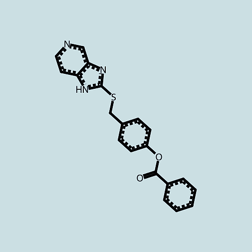 O=C(Oc1ccc(CSc2nc3cnccc3[nH]2)cc1)c1ccccc1